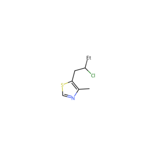 CCC(Cl)Cc1scnc1C